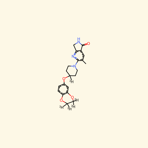 [2H]C1(Oc2ccc3c(c2)OC([2H])([2H])C([2H])([2H])O3)CCN(c2nc3c(cc2C)C(=O)NC3)CC1